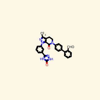 O=Cc1ccccc1-c1ccc(N2CCc3c(C(F)(F)F)nn(-c4cccc(-c5n[nH]c(=O)[nH]5)c4)c3C2=O)cc1